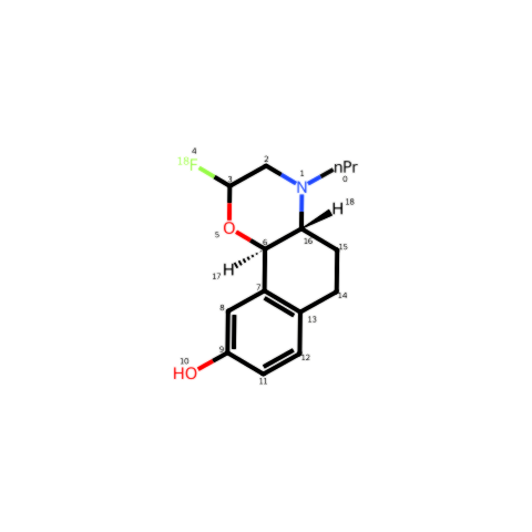 CCCN1CC([18F])O[C@@H]2c3cc(O)ccc3CC[C@H]21